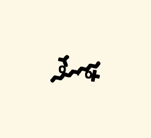 CCCC(CC[CH]CC(CCC)OC(C)(C)C)OCC(C)C